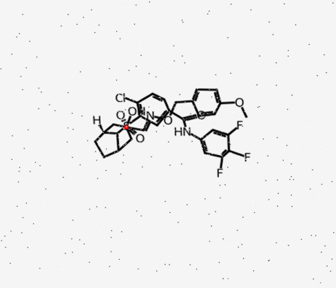 COc1ccc(CO/N=C/C2(O)CC3CC[C@H](C2)C3S(=O)(=O)c2cc(C(=O)Nc3cc(F)c(F)c(F)c3)ccc2Cl)cc1